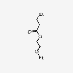 CCOCCOC(=O)CCC(C)(C)C